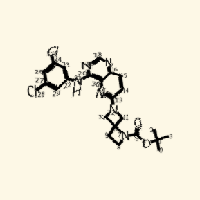 CC(C)(C)OC(=O)N1CCC12CN(c1ccc3ncnc(Nc4cc(Cl)cc(Cl)c4)c3n1)C2